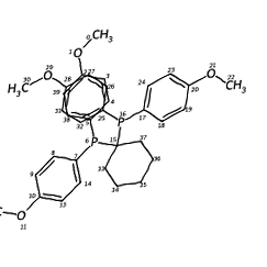 COc1ccc(P(c2ccc(OC)cc2)C2(P(c3ccc(OC)cc3)c3ccc(OC)cc3)CCCCC2)cc1